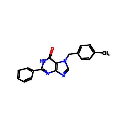 Cc1ccc(Cn2cnc3nc(-c4ccccc4)[nH]c(=O)c32)cc1